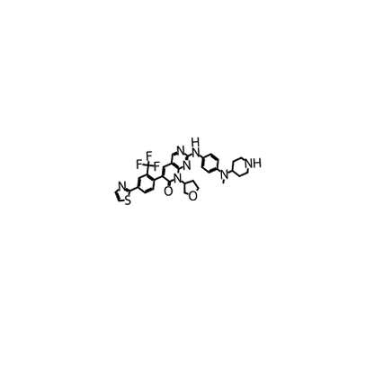 CN(c1ccc(Nc2ncc3cc(-c4ccc(-c5nccs5)cc4C(F)(F)F)c(=O)n(C4CCOC4)c3n2)cc1)C1CCNCC1